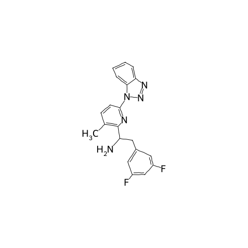 Cc1ccc(-n2nnc3ccccc32)nc1C(N)Cc1cc(F)cc(F)c1